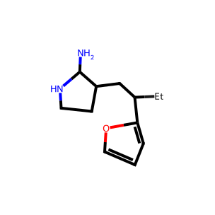 CCC(CC1CCNC1N)c1ccco1